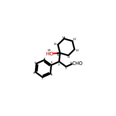 O=CCC(c1ccccc1)C1(O)CCCCC1